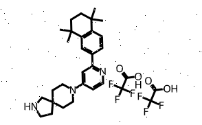 CC1(C)CCC(C)(C)c2cc(-c3cc(N4CCC5(CCNC5)CC4)ccn3)ccc21.O=C(O)C(F)(F)F.O=C(O)C(F)(F)F